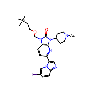 CC(=O)N1CCC(n2c(=O)n(COCC[Si](C)(C)C)c3ccc(-c4cnc5ccc(I)cn45)nc32)CC1